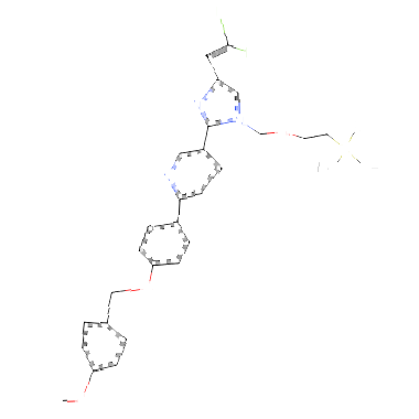 COc1ccc(COc2ccc(-c3ccc(-c4nc(C=C(F)F)cn4COCCS(C)(C)C)cn3)cc2)cc1